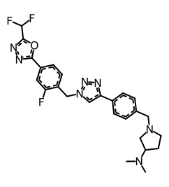 CN(C)C1CCN(Cc2ccc(-c3cn(Cc4ccc(-c5nnc(C(F)F)o5)cc4F)nn3)cc2)C1